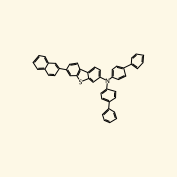 c1ccc(-c2ccc(N(c3ccc(-c4ccccc4)cc3)c3ccc4c(c3)sc3cc(-c5ccc6ccccc6c5)ccc34)cc2)cc1